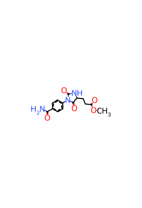 COC(=O)CCC1NC(=O)N(c2ccc(C(N)=O)cc2)C1=O